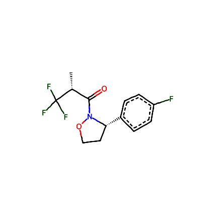 C[C@H](C(=O)N1OCC[C@H]1c1ccc(F)cc1)C(F)(F)F